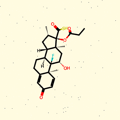 CCC(=O)O[C@]1(C(=O)S)[C@@H](C)C[C@H]2[C@@H]3CCC4=CC(=O)C=C[C@]4(C)[C@@]3(F)[C@@H](O)C[C@@]21C